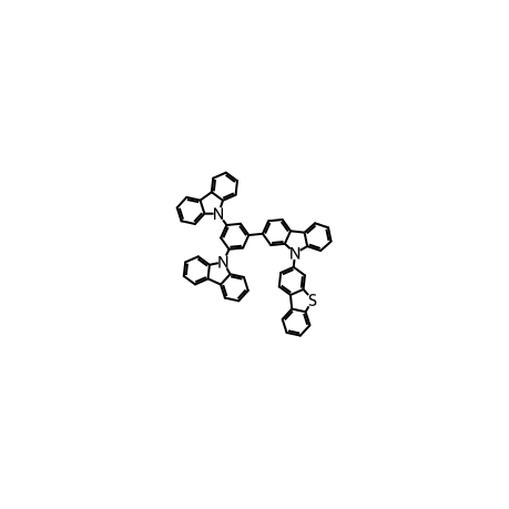 c1ccc2c(c1)sc1cc(-n3c4ccccc4c4ccc(-c5cc(-n6c7ccccc7c7ccccc76)cc(-n6c7ccccc7c7ccccc76)c5)cc43)ccc12